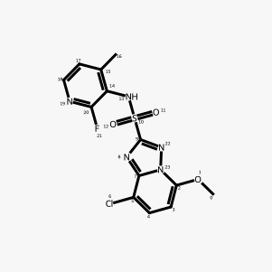 COc1ccc(Cl)c2nc(S(=O)(=O)Nc3c(C)ccnc3F)nn12